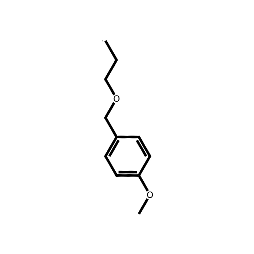 [CH2]CCOCc1ccc(OC)cc1